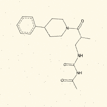 CC(=O)NC(=O)NCC(C)C(=O)N1CCC(c2ccccc2)CC1